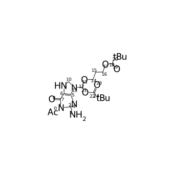 CC(=O)n1c(N)nc2c(c1=O)NCN2C(OCCCOC(=O)C(C)(C)C)OC(=O)C(C)(C)C